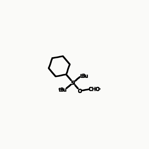 CC(C)(C)[Si](O[C]=O)(C1CCCCC1)C(C)(C)C